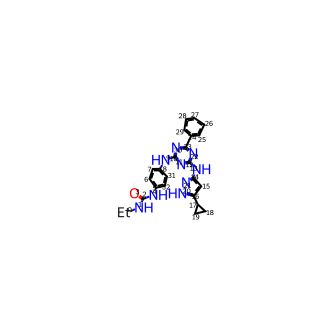 CCNC(=O)Nc1ccc(Nc2nc(Nc3cc(C4CC4)[nH]n3)nc(-c3ccccc3)n2)cc1